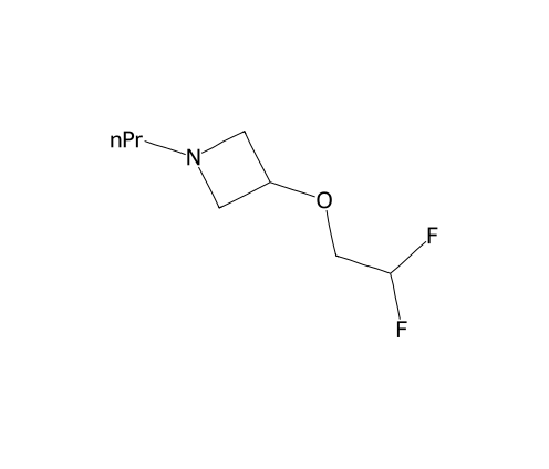 CCCN1CC(OCC(F)F)C1